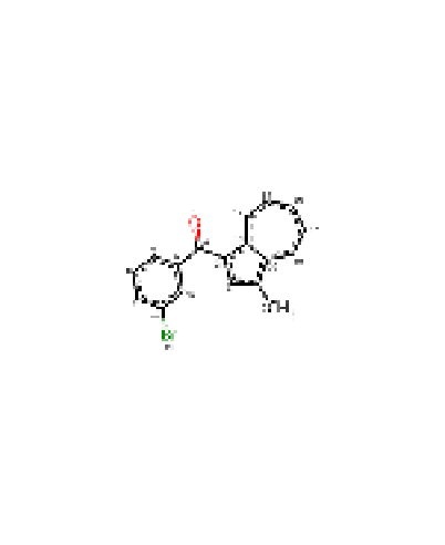 Cc1cc(C(=O)c2cccc(Br)c2)c2cccccc1-2